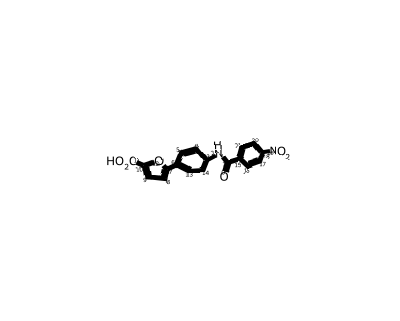 O=C(Nc1ccc(-c2ccc(C(=O)O)o2)cc1)c1ccc([N+](=O)[O-])cc1